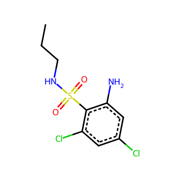 CCCNS(=O)(=O)c1c(N)cc(Cl)cc1Cl